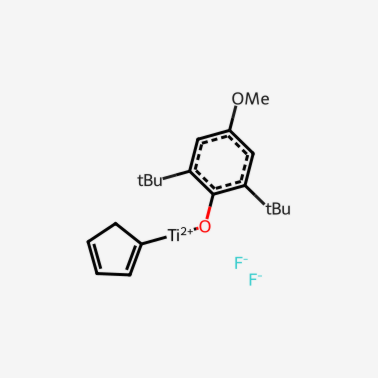 COc1cc(C(C)(C)C)c([O][Ti+2][C]2=CC=CC2)c(C(C)(C)C)c1.[F-].[F-]